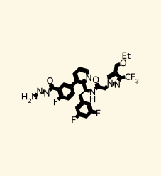 CCOCc1cn(CC(=O)N[C@@H](Cc2cc(F)cc(F)c2)c2ncccc2-c2ccc(F)c(C(=O)N=NN)c2)nc1C(F)(F)F